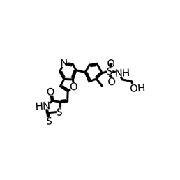 Cc1cc(-c2cncc3cc(/C=C4/SC(=S)NC4=O)oc23)ccc1S(=O)(=O)NCCO